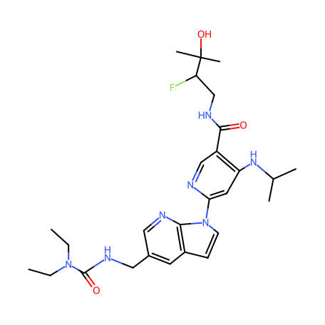 CCN(CC)C(=O)NCc1cnc2c(ccn2-c2cc(NC(C)C)c(C(=O)NCC(F)C(C)(C)O)cn2)c1